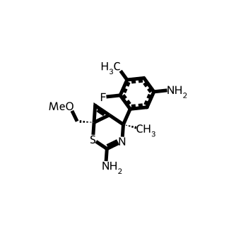 COC[C@]12C=C1[C@@](C)(c1cc(N)cc(C)c1F)N=C(N)S2